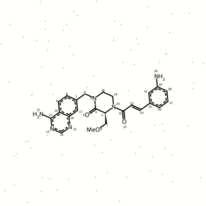 COC[C@H]1C(=O)N(Cc2ccc3c(N)ncnc3c2)CCN1C(=O)C=Cc1cccc(N)c1